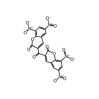 O=C(c1cc2cc([N+](=O)[O-])cc([N+](=O)[O-])c2oc1=O)c1cc2cc([N+](=O)[O-])cc([N+](=O)[O-])c2oc1=O